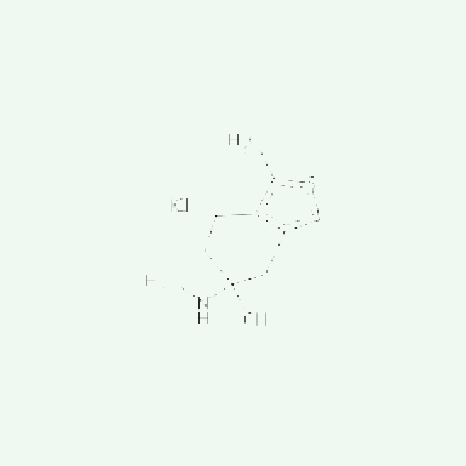 CNC1(C)CCc2c(csc2C)C1.Cl